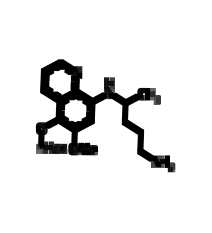 CCCCCCOc1c(OC)cc(NC(C)CCCN)c2ncccc12